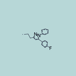 [CH2]CCc1cc(-c2ccc(F)cc2)n(-c2ccccc2)n1